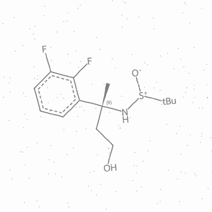 CC(C)(C)[S+]([O-])N[C@](C)(CCO)c1cccc(F)c1F